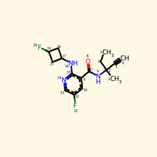 C#CC(C)(CC)NC(=O)c1cc(F)cnc1NC1CC(F)C1